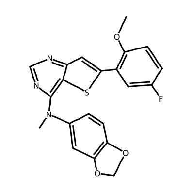 COc1ccc(F)cc1-c1cc2ncnc(N(C)c3ccc4c(c3)OCO4)c2s1